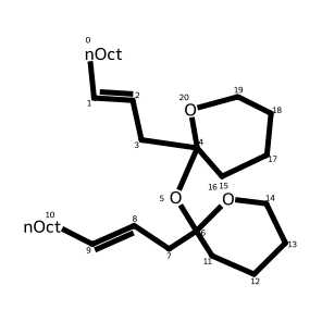 CCCCCCCCC=CCC1(OC2(CC=CCCCCCCCC)CCCCO2)CCCCO1